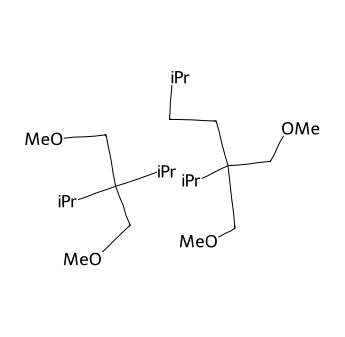 COCC(CCC(C)C)(COC)C(C)C.COCC(COC)(C(C)C)C(C)C